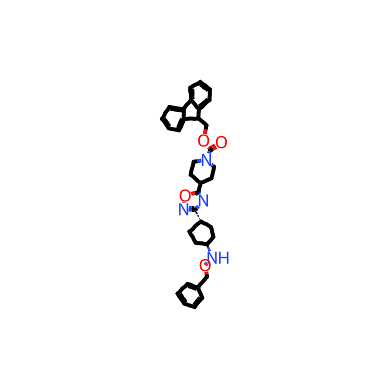 O=C(OCC1c2ccccc2-c2ccccc21)N1CCC(c2nc([C@H]3CC[C@H](NOCc4ccccc4)CC3)no2)CC1